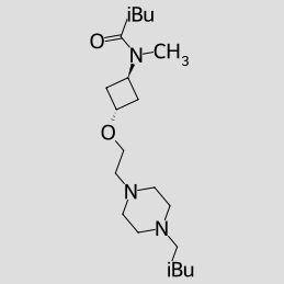 CCC(C)CN1CCN(CCO[C@H]2C[C@H](N(C)C(=O)C(C)CC)C2)CC1